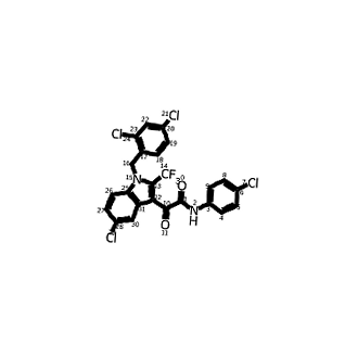 O=C(Nc1ccc(Cl)cc1)C(=O)c1c(C(F)(F)F)n(Cc2ccc(Cl)cc2Cl)c2ccc(Cl)cc12